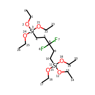 CCO[Si](CCC(F)(F)CC[Si](OCC)(OCC)OCC)(OCC)OCC